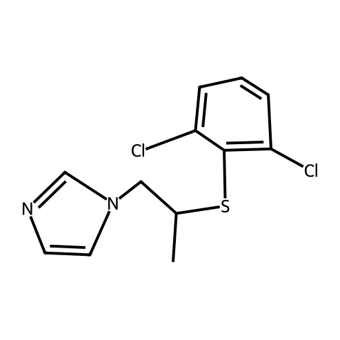 CC(Cn1ccnc1)Sc1c(Cl)cccc1Cl